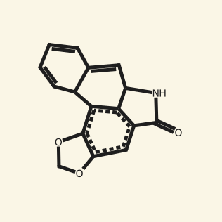 O=C1NC2C=C3C=CC=CC3c3c4c(cc1c32)OCO4